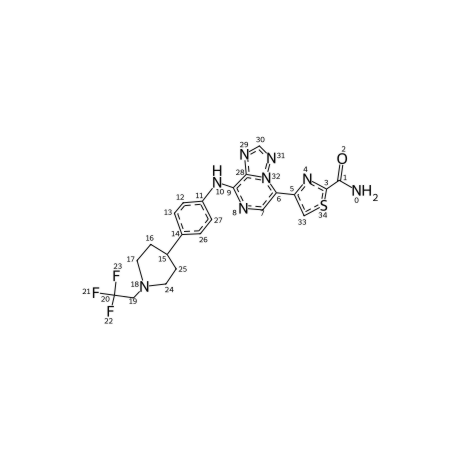 NC(=O)c1nc(-c2cnc(Nc3ccc(C4CCN(CC(F)(F)F)CC4)cc3)c3ncnn23)cs1